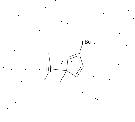 CCCCC1=C[C](C)([Hf]([CH3])[CH3])C=C1